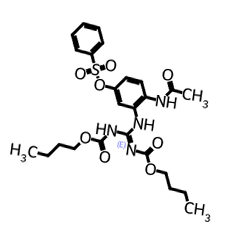 CCCCOC(=O)/N=C(/NC(=O)OCCCC)Nc1cc(OS(=O)(=O)c2ccccc2)ccc1NC(C)=O